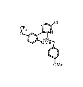 COc1ccc(CNc2nc(Cl)cnc2-c2cc(OC(F)(F)F)ccc2OC)cc1